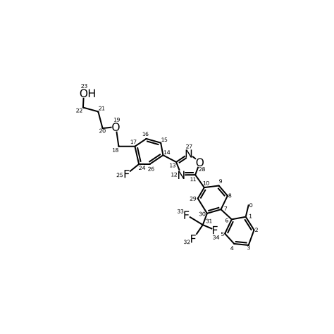 Cc1ccccc1-c1ccc(-c2nc(-c3ccc(COCCCO)c(F)c3)no2)cc1C(F)(F)F